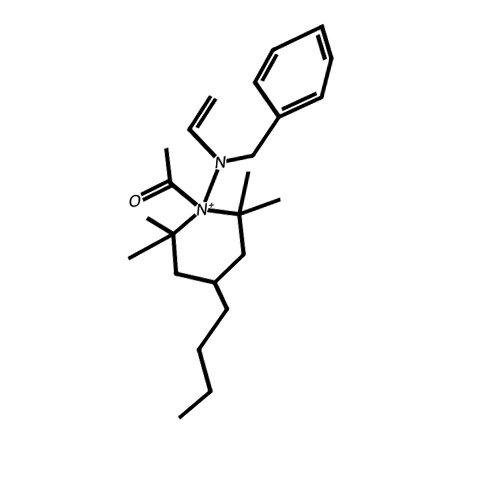 C=CN(Cc1ccccc1)[N+]1(C(C)=O)C(C)(C)CC(CCCC)CC1(C)C